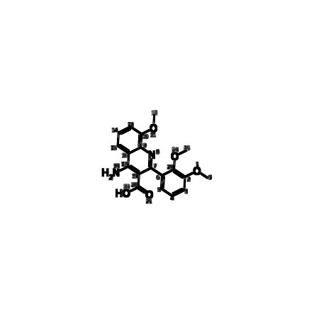 COc1cccc(-c2nc3c(OC)cccc3c(N)c2C(=O)O)c1OC